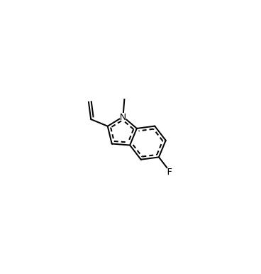 C=Cc1cc2cc(F)ccc2n1C